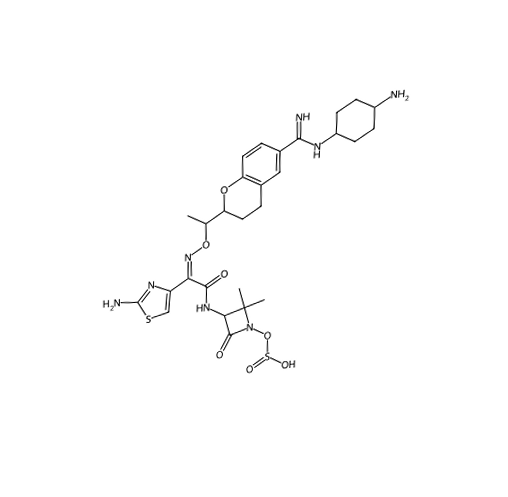 CC(O/N=C(\C(=O)NC1C(=O)N(OS(=O)O)C1(C)C)c1csc(N)n1)C1CCc2cc(C(=N)NC3CCC(N)CC3)ccc2O1